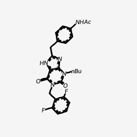 CCCCn1c(=O)n(Cc2c(F)cccc2F)c(=O)c2[nH]c(Cc3ccc(NC(C)=O)cc3)nc21